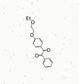 CCOCCOc1ccc(C(=O)C(=O)c2ccccc2)cc1